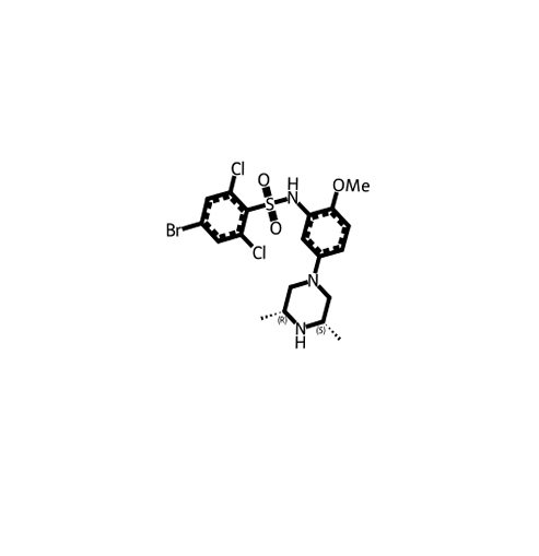 COc1ccc(N2C[C@@H](C)N[C@@H](C)C2)cc1NS(=O)(=O)c1c(Cl)cc(Br)cc1Cl